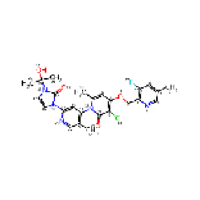 Cc1cnc(COc2cc(C)n(-c3cc(-n4ccn(C(C)(C)O)c4=O)ncc3C)c(=O)c2Cl)c(F)c1